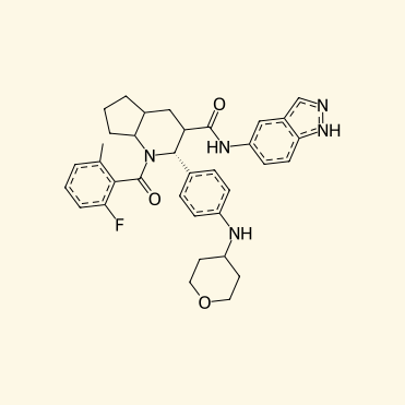 Cc1cccc(F)c1C(=O)N1C2CCCC2CC(C(=O)Nc2ccc3[nH]ncc3c2)[C@@H]1c1ccc(NC2CCOCC2)cc1